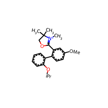 COc1ccc(-c2ccccc2OC(C)C)c(C2=[N+](C)C(C)(C)CO2)c1